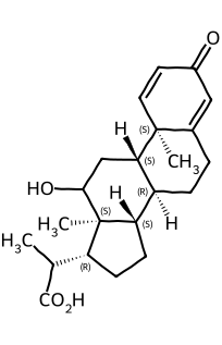 CC(C(=O)O)[C@H]1CC[C@H]2[C@@H]3CCC4=CC(=O)C=C[C@]4(C)[C@H]3CC(O)[C@]12C